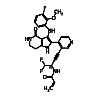 C=CC(=O)N[C@H](C#Cc1cnccc1-c1[nH]c2c(c1Nc1cccc(F)c1OC)C(=O)NCC2)C(F)F